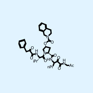 CCCC(NC(=O)[C@@H]1C[C@@H](OC(=O)N2CCc3ccccc3C2)CN1C(=O)[C@@H](NC(=O)C(=O)Cc1ccccc1)C(C)C)C(=O)C(=O)NCC(C)=O